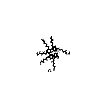 CCCCCCc1cc(CCCCCC)cc([Si](c2cc(CCCCCC)cc(CCCCCC)c2)(c2cc(CCCCCC)cc(CCCCCC)c2)[C]2([Ti+3])C(C)=C(C)C(C)=C2C)c1.[Cl-].[Cl-].[Cl-]